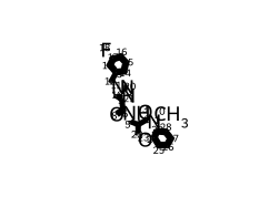 CN1C(=O)C(CNC(=O)c2cn(Cc3cccc(F)c3)nn2)COc2ccccc21